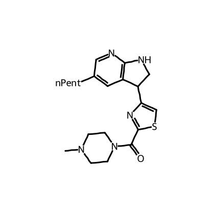 CCCCCc1cnc2c(c1)C(c1csc(C(=O)N3CCN(C)CC3)n1)CN2